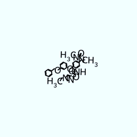 CCn1cnc(S(=O)(=O)Nc2cc3c(cc2Oc2cccc(OCc4ccccc4)c2)n(C)c(=O)n3C)c1